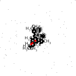 Cc1cc(C)c(C2=CC(c3ccc(C(C)(C)C)cc3)=N/C2=C\c2c(-c3c(C)cc(C)cc3C)cc(-c3ccc(C(C)(C)C)cc3)n2B(OCC(F)(F)C(F)(F)F)OCC(F)(F)C(F)(F)F)c(C)c1